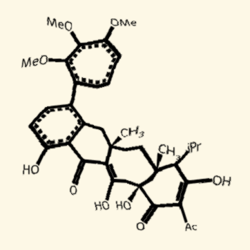 COc1ccc(-c2ccc(O)c3c2C[C@]2(C)C[C@]4(C)C(C(C)C)C(O)=C(C(C)=O)C(=O)[C@]4(O)C(O)=C2C3=O)c(OC)c1OC